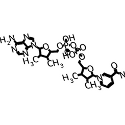 CC1C(COP(=O)(O)OP(=O)(O)OCC2OC([n+]3cccc(C(N)=O)c3)C(C)C2C)OC(n2cnc3c(N)ncnc32)C1C